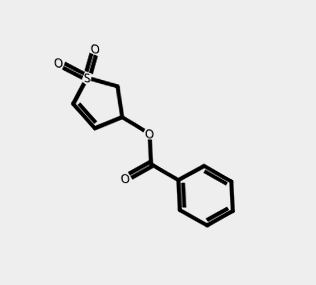 O=C(OC1C=CS(=O)(=O)C1)c1ccccc1